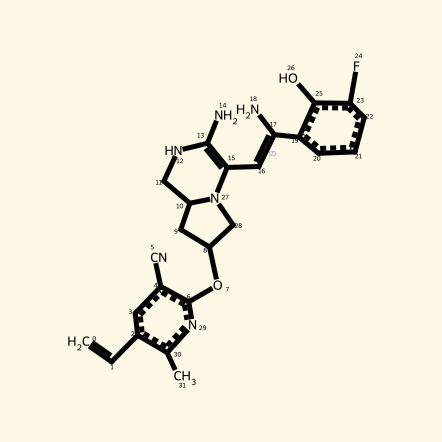 C=Cc1cc(C#N)c(OC2CC3CNC(N)=C(/C=C(\N)c4cccc(F)c4O)N3C2)nc1C